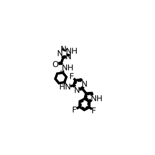 O=C(N[C@@H]1CCC[C@H](Nc2nc(-c3c[nH]c4c(F)cc(F)cc34)ncc2F)C1)c1nn[nH]n1